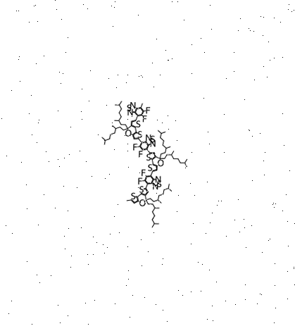 Cc1cc2c(s1)-c1sc(-c3c(F)c(F)c(-c4cc5c(s4)-c4sc(-c6c(F)c(F)c(-c7cc8c(s7)-c7sc(-c9c(F)c(F)c(C)c%10nsnc9%10)cc7C(CCC(C)CCCC(C)C)(CCC(C)CCCC(C)C)O8)c7nsnc67)cc4C(CCC(C)CCCC(C)C)(CCC(C)CCCC(C)C)O5)c4nsnc34)cc1C(CCC(C)CCCC(C)C)(CCC(C)CCCC(C)C)O2